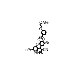 CCCC1CC(=O)C2=C(C1)NC(C)=C(C#N)C2c1cc(Br)c(OCc2cccc(OCCOC)c2)c(OCC)c1